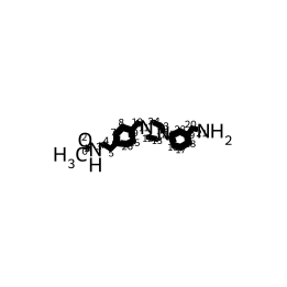 CC(=O)NCCc1ccc(CN2CCN(c3cccc(CN)c3)CC2)cc1